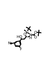 CC(C)(C)OC(=O)NC[C@@H](CC(O)c1cc(F)cc(C#N)c1)O[Si](C)(C)C(C)(C)C